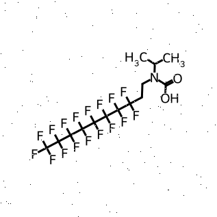 CC(C)N(CCC(F)(F)C(F)(F)C(F)(F)C(F)(F)C(F)(F)C(F)(F)C(F)(F)C(F)(F)F)C(=O)O